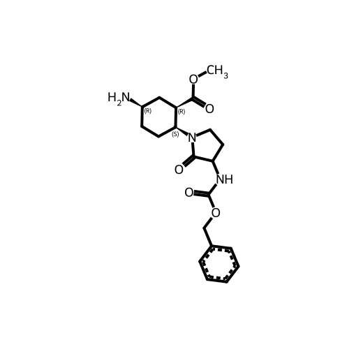 COC(=O)[C@@H]1C[C@H](N)CC[C@@H]1N1CCC(NC(=O)OCc2ccccc2)C1=O